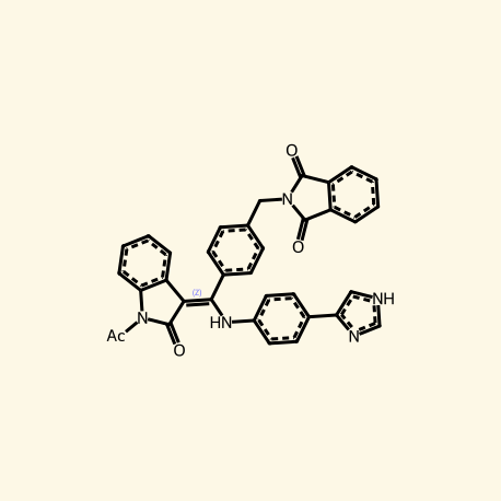 CC(=O)N1C(=O)/C(=C(\Nc2ccc(-c3c[nH]cn3)cc2)c2ccc(CN3C(=O)c4ccccc4C3=O)cc2)c2ccccc21